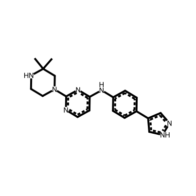 CC1(C)CN(c2nccc(Nc3ccc(-c4cn[nH]c4)cc3)n2)CCN1